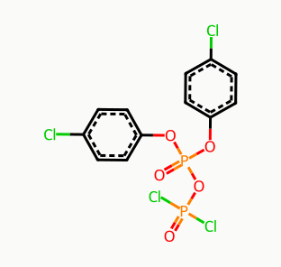 O=P(Cl)(Cl)OP(=O)(Oc1ccc(Cl)cc1)Oc1ccc(Cl)cc1